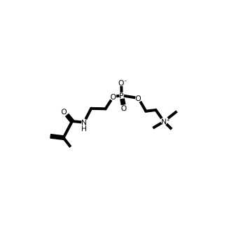 C=C(C)C(=O)NCCOP(=O)([O-])OCC[N+](C)(C)C